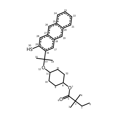 CCC(C)(C)C(=O)OC1CCC(OC(C)(C)c2cc3cc4ccccc4cc3cc2S)CC1